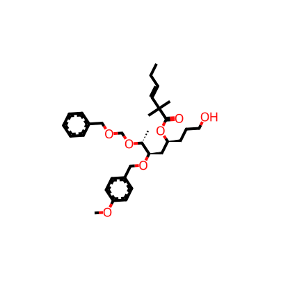 CC/C=C/C(C)(C)C(=O)O[C@@H](CCCO)C[C@@H](OCc1ccc(OC)cc1)[C@@H](C)OCOCc1ccccc1